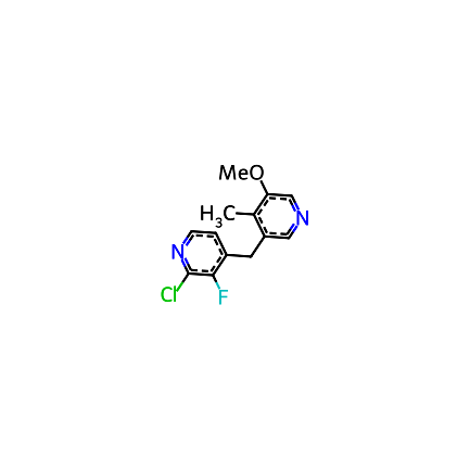 COc1cncc(Cc2ccnc(Cl)c2F)c1C